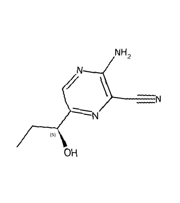 CC[C@H](O)c1cnc(N)c(C#N)n1